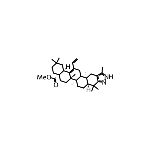 C=CC1=C2[C@@H]3CC(C)(C)CC[C@]3(C(=O)OC)CC[C@@]2(C)[C@]2(C)CC[C@H]3C(C)(C)c4n[nH]c(C)c4C[C@]3(C)C2C1